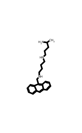 CC(N)CCCNCCCCNCc1c2ccccc2cc2ccccc12